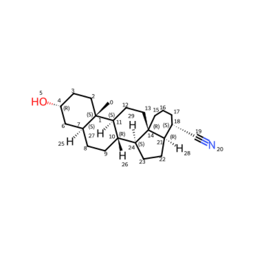 C[C@]12CC[C@@H](O)C[C@@H]1CC[C@@H]1[C@@H]2CC[C@@]23CCC[C@H](C#N)[C@H]2CC[C@@H]13